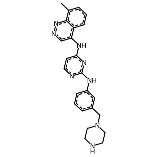 Cc1cccc2c(Nc3ccnc(Nc4cccc(CN5CCNCC5)c4)n3)cnnc12